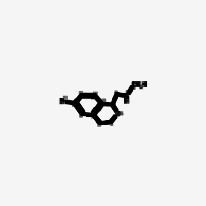 O=C(O)NCC1OCCc2cc(Br)ccc21